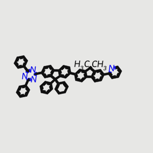 CC1(C)c2cc(-c3ccc4c(c3)C(C3=CCCC=C3)(c3ccccc3)c3cc(-c5nc(-c6ccccc6)nc(-c6ccccc6)n5)ccc3-4)ccc2-c2ccc(-c3ccccn3)cc21